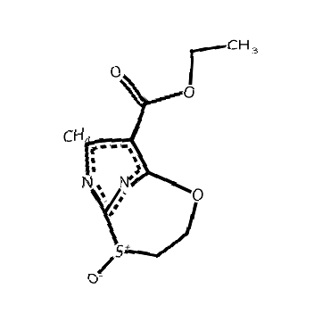 C.CCOC(=O)c1cnc2nc1OCC[S+]2[O-]